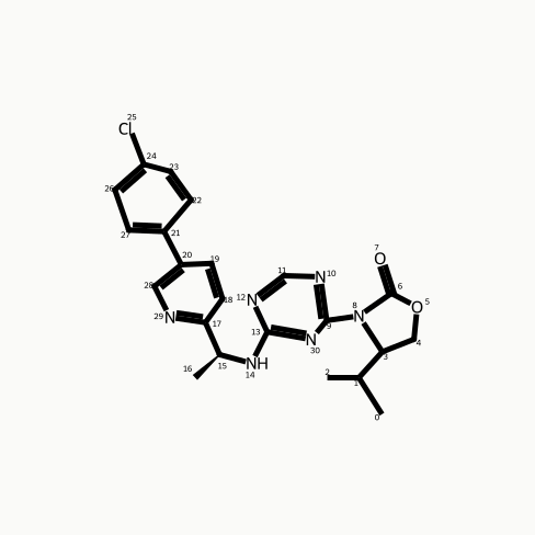 CC(C)C1COC(=O)N1c1ncnc(N[C@@H](C)c2ccc(-c3ccc(Cl)cc3)cn2)n1